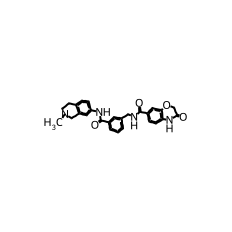 CN1CCc2ccc(NC(=O)c3cccc(CNC(=O)c4ccc5c(c4)OCC(=O)N5)c3)cc2C1